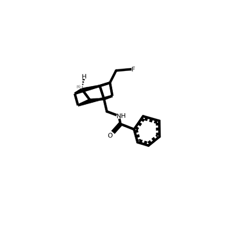 O=C(NCC12C3C4C5[C@H]3C1C5(CF)C42)c1ccccc1